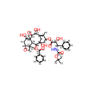 CC1=C2C[C@@](O)(C[C@@H]1OC(=O)[C@H](O)[C@@H](NC(=O)OC(C)(C)C)c1ccccc1)[C@@H](OC(=O)c1ccccc1)C1C(C)(C(=O)[C@@H]2O)[C@@H](O)CC2OC[C@]21C